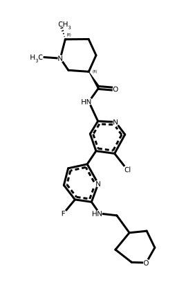 C[C@@H]1CC[C@@H](C(=O)Nc2cc(-c3ccc(F)c(NCC4CCOCC4)n3)c(Cl)cn2)CN1C